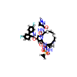 Cn1ccc(C(=O)N[C@H]2CCCCC/C=C\[C@@H]3C[C@@]3(C(=O)NS(=O)(=O)C3CC3)NC(=O)[C@@H]3C[C@@H](Oc4nc5cc(F)ccc5c5cc(F)ccc45)CN3C2=O)n1